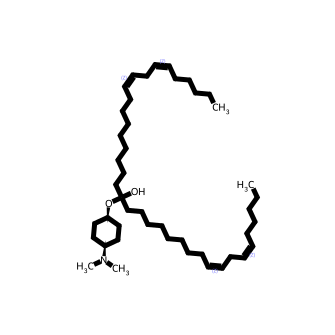 CCCCC/C=C\C/C=C\CCCCCCCCC(O)(CCCCCCCC/C=C\C/C=C\CCCCC)O[C@H]1CC[C@@H](N(C)C)CC1